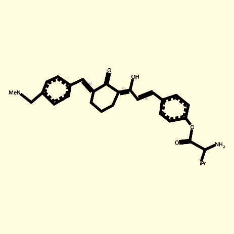 CNCc1ccc(/C=C2\CCC/C(=C(O)\C=C\c3ccc(OC(=O)C(N)C(C)C)cc3)C2=O)cc1